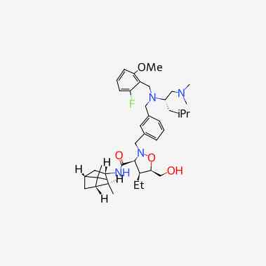 CC[C@@H]1[C@H](CO)ON(Cc2cccc(CN(Cc3c(F)cccc3OC)[C@@H](CC(C)C)CN(C)C)c2)[C@@H]1C(=O)N[C@H]1C[C@H]2C[C@@H]([C@@H]1C)C2(C)C